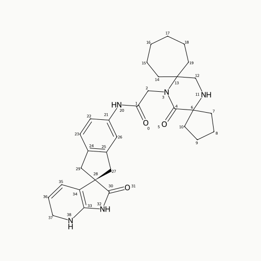 O=C(CN1C(=O)C2(CCCC2)NCC12CCCCCC2)Nc1ccc2c(c1)C[C@@]1(C2)C(=O)NC2=C1C=CCN2